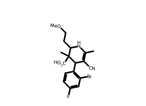 COCCC1NC(C)=C(C#N)C(c2ccc(F)cc2Br)C1(C)C(=O)O